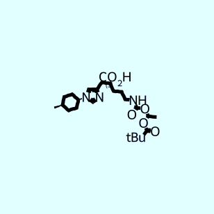 CC(OC(=O)NCCC[C@@H](Cc1cn([C@H]2CC[C@H](C)CC2)cn1)C(=O)O)OC(=O)C(C)(C)C